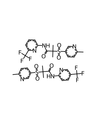 Cc1ccc(S(=O)(=O)C(C)(C)C(=O)Nc2ccc(C(F)(F)F)cn2)cn1.Cc1ccc(S(=O)(=O)C(C)(C)C(=O)Nc2cccc(C(F)(F)F)n2)cn1